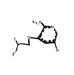 Nc1ncc(Br)cc1OCC(F)F